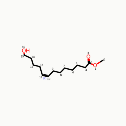 COC(=O)CCCCCC/C=C\CCCCO